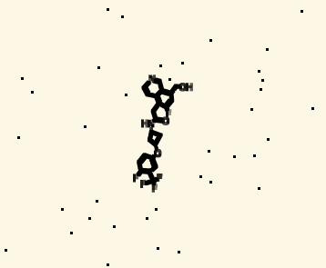 O=C(Cc1c(F)cc(CO)c2cnccc12)N[C@H]1C[C@H](Oc2ccc(F)c(C(F)(F)F)c2)C1